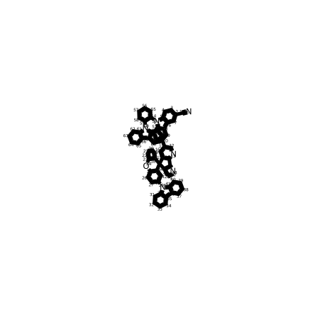 N#Cc1ccc2c(c1)c1cc(-c3cnc4c(c3)C3(c5ccccc5Oc5ccc(-n6c7ccccc7c7ccccc76)cc53)c3cccnc3-4)ccc1n2-c1ccccc1-n1c2ccccc2c2ccccc21